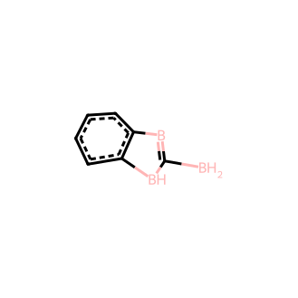 BC1=Bc2ccccc2B1